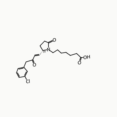 O=C(O)CCCCCCN1C(=O)CC[C@H]1C=CC(=O)Cc1cccc(Cl)c1